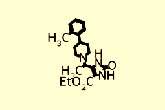 CCOC(=O)c1[nH]c(=O)[nH]c1C(C)N1CCC(c2ccccc2C)CC1